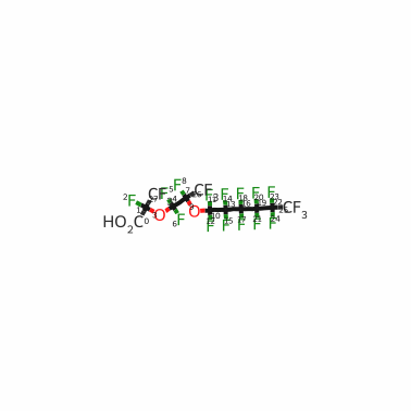 O=C(O)C(F)(OC(F)(F)C(F)(OC(F)(F)C(F)(F)C(F)(F)C(F)(F)C(F)(F)C(F)(F)F)C(F)(F)F)C(F)(F)F